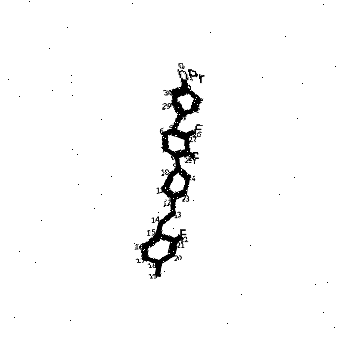 CCCc1ccc(-c2ccc(-c3ccc(CCC4=CCC(C)C=C4F)cc3)c(F)c2F)cc1